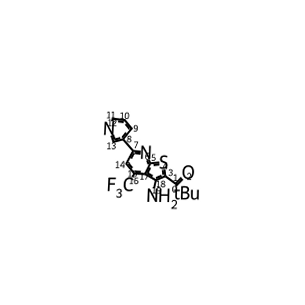 CC(C)(C)C(=O)c1sc2nc(-c3cccnc3)cc(C(F)(F)F)c2c1N